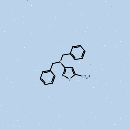 O=C(O)c1cc(N(Cc2ccccc2)Cc2ccccc2)ns1